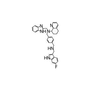 Fc1ccc2c(CNCc3ccc(CN(Cc4nc5ccccc5[nH]4)C4CCCc5cccnc54)cc3)c[nH]c2c1